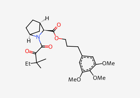 CCC(C)(C)C(=O)C(=O)N1[C@H]2CC[C@H](C2)[C@H]1C(=O)OCCCc1cc(OC)c(OC)c(OC)c1